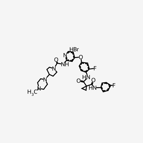 Br.CN1CCN(C2CCN(C(=O)Nc3cc(Oc4ccc(NC(=O)C5(C(=O)Nc6ccc(F)cc6)CC5)c(F)c4)ccn3)CC2)CC1